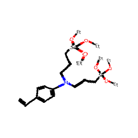 C=Cc1ccc(N(CCC[Si](OCC)(OCC)OCC)CCC[Si](OCC)(OCC)OCC)cc1